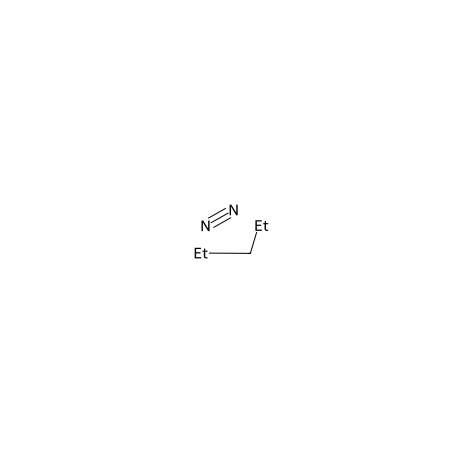 CCCCC.N#N